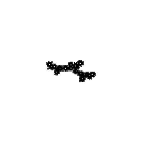 CC1(C)c2ccccc2-c2ccc(-n3c4ccccc4c4cc(-c5ccc(-c6ccc7c8c(cccc68)-c6nc(-c8ccccc8)nc(-c8cccc(-c9ccc%10c(c9)c9ccccc9n%10-c9ccc%10c(c9)C(C)(C)c9ccccc9-%10)c8)c6-7)cc5)ccc43)cc21